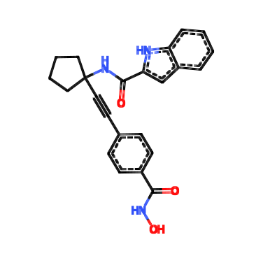 O=C(NO)c1ccc(C#CC2(NC(=O)c3cc4ccccc4[nH]3)CCCC2)cc1